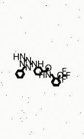 CNc1nc(NC2CCCC(C(=O)NCc3ccccc3OC(F)(F)F)C2)nc(-c2ccccc2)n1